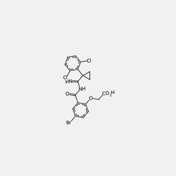 N=C(NC(=O)c1cc(Br)ccc1OCC(=O)O)C1(c2c(Cl)cccc2Cl)CC1